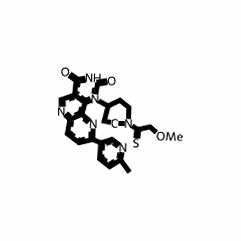 COCC(=S)N1CCC(n2c(=O)[nH]c(=O)c3cnc4ccc(-c5ccc(C)nc5)nc4c32)CC1